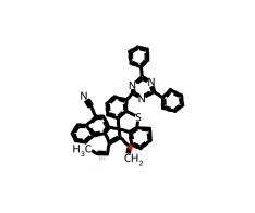 C=CC1=C(/C=C\C)c2c(cc(C#N)c3ccccc23)C12c1ccccc1Sc1c(-c3nc(-c4ccccc4)nc(-c4ccccc4)n3)cccc12